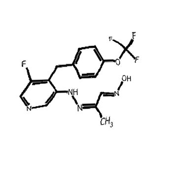 CC(C=NO)=NNc1cncc(F)c1Cc1ccc(OC(F)(F)F)cc1